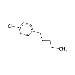 CCCC[CH]c1ccc(Cl)cc1